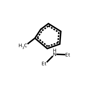 CCNCC.Cc1ccccc1